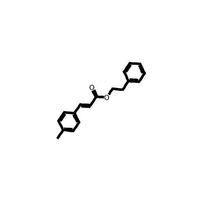 Cc1ccc(/C=C/C(=O)OCCc2ccccc2)cc1